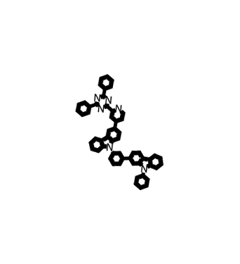 c1ccc(-c2nc(-c3ccccc3)nc(-c3cc(-c4ccc5c(c4)c4ccccc4n5-c4cccc(-c5ccc6c7ccccc7n(-c7ccccc7)c6c5)c4)ccn3)n2)cc1